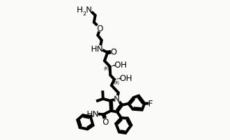 CC(C)c1c(C(=O)Nc2ccccc2)c(-c2ccccc2)c(-c2ccc(F)cc2)n1CC[C@@H](O)C[C@@H](O)CC(=O)NCCOCCN